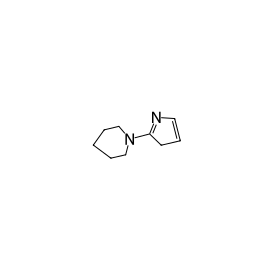 C1=CN=C(N2CCCCC2)C1